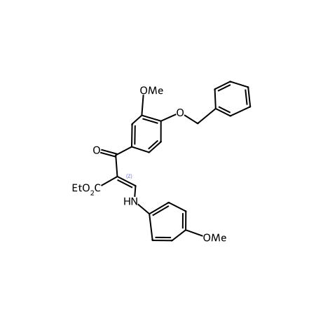 CCOC(=O)/C(=C\Nc1ccc(OC)cc1)C(=O)c1ccc(OCc2ccccc2)c(OC)c1